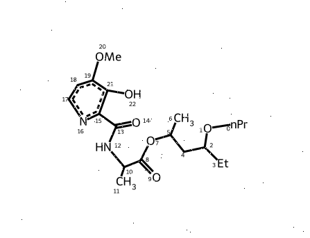 CCCOC(CC)CC(C)OC(=O)C(C)NC(=O)c1nccc(OC)c1O